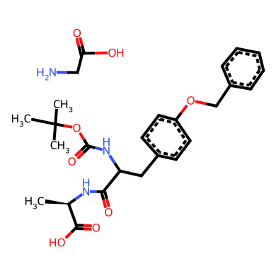 C[C@@H](NC(=O)C(Cc1ccc(OCc2ccccc2)cc1)NC(=O)OC(C)(C)C)C(=O)O.NCC(=O)O